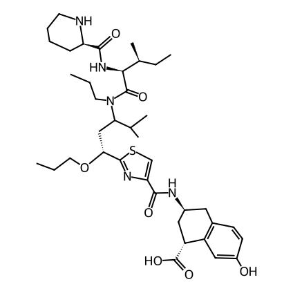 CCCO[C@H](CC(C(C)C)N(CCC)C(=O)[C@@H](NC(=O)[C@H]1CCCCN1)[C@@H](C)CC)c1nc(C(=O)N[C@H]2Cc3ccc(O)cc3[C@H](C(=O)O)C2)cs1